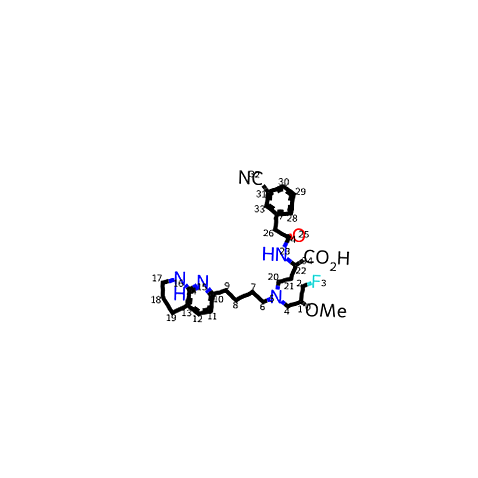 COC(CF)CN(CCCCc1ccc2c(n1)NCCC2)CCC(NC(=O)Cc1cccc(C#N)c1)C(=O)O